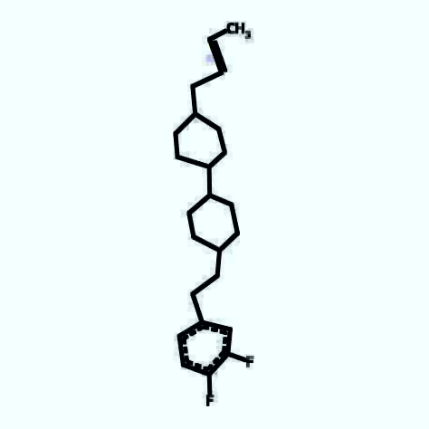 C/C=C/CC1CCC(C2CCC(CCc3ccc(F)c(F)c3)CC2)CC1